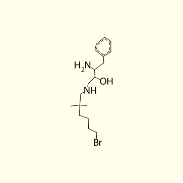 CC(C)(CCCCBr)CNCC(O)C(N)Cc1ccccc1